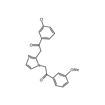 COc1cccc(C(=O)Cn2ccnc2CC(=O)c2cccc(Cl)c2)c1